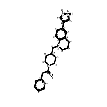 O=C(Cc1ccccn1)N1CCC(CN2CCCc3cc(-c4cn[nH]c4)ccc32)CC1